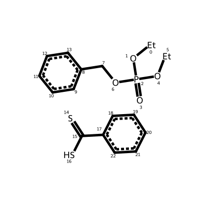 CCOP(=O)(OCC)OCc1ccccc1.S=C(S)c1ccccc1